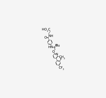 CC[C@H](C)[C@@H](COc1ccc(-c2ccc(C(F)(F)F)cc2F)c(C)n1)Nc1ccc(C(=O)NCCC(=O)O)cc1